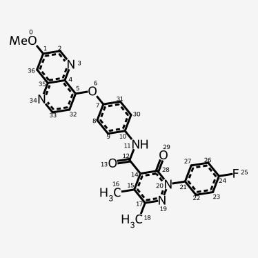 COc1cnc2c(Oc3ccc(NC(=O)c4c(C)c(C)nn(-c5ccc(F)cc5)c4=O)cc3)ccnc2c1